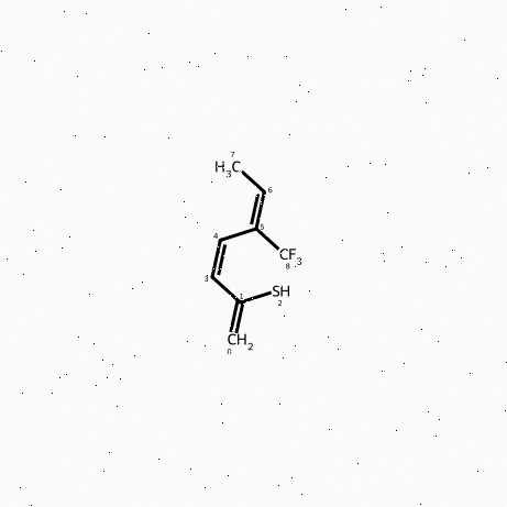 C=C(S)/C=C\C(=C/C)C(F)(F)F